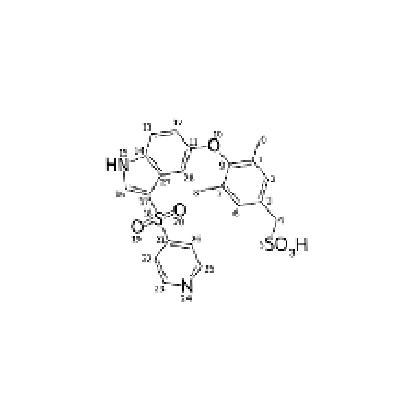 Cc1cc(CS(=O)(=O)O)cc(C)c1Oc1ccc2[nH]cc(S(=O)(=O)c3ccncc3)c2c1